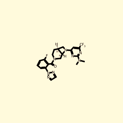 CN(C)c1nc(N2C[C@@H]3CCN(C(=O)c4c(F)cccc4-n4nccn4)C[C@@H]32)cc(C(F)(F)F)n1